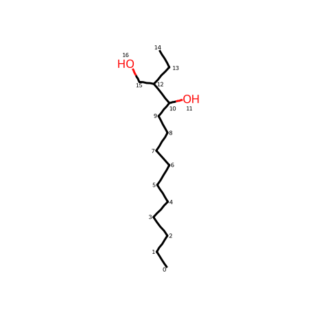 CCCCCCCCCCC(O)C(CC)CO